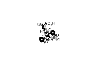 Cc1ccc(C(=O)NC(C)C)cc1-c1nc(NCCC(NC(=O)O)C(C)(C)C)nc2c1CNC(=O)N2c1c(F)cccc1F